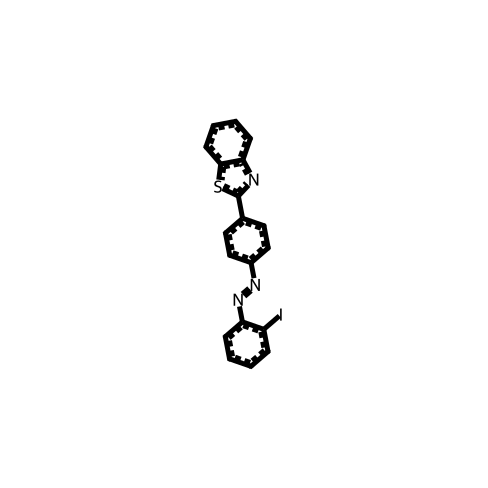 Ic1ccccc1/N=N/c1ccc(-c2nc3ccccc3s2)cc1